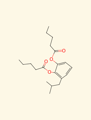 CCCCC(=O)Oc1cccc(CC(C)C)c1OC(=O)CCCC